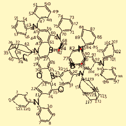 c1ccc(N(c2ccccc2)c2cc3c4c(c2)Oc2cc5c(cc2B4c2cc4c(cc2O3)N(C23CC6CC(CC(C6)C2)C3)c2cc(N(c3ccccc3)c3ccccc3)cc3c2B4c2ccccc2N3c2ccccc2)B2c3ccccc3N(c3ccccc3)c3cc(N(c4ccccc4)c4ccccc4)cc(c32)N5C23CC4CC(CC(C4)C2)C3)cc1